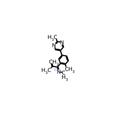 C=C(C)/C(=N/C)c1cc(-c2cnc(C)nc2)ccc1C